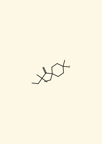 C=C(C(C)(C)CC)C1(CC)CCC(C)(F)CC1